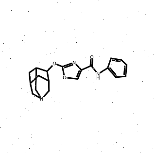 O=C(Nc1ccccc1)c1coc(OC2C3CC4CC2CN(C4)C3)n1